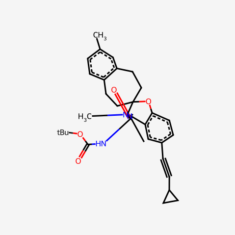 Cc1ccc2c(c1)CCC1(CC2)Oc2ccc(C#CC3CC3)cc2C12N=C(NC(=O)OC(C)(C)C)N(C)C2=O